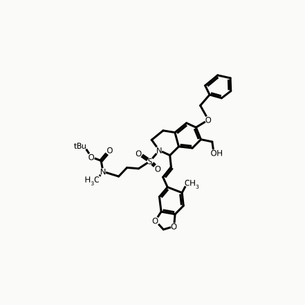 Cc1cc2c(cc1/C=C/C1c3cc(CO)c(OCc4ccccc4)cc3CCN1S(=O)(=O)CCCN(C)C(=O)OC(C)(C)C)OCO2